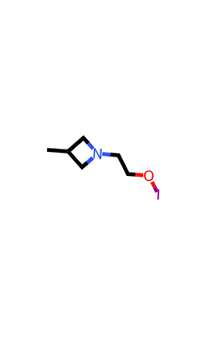 CC1CN(CCOI)C1